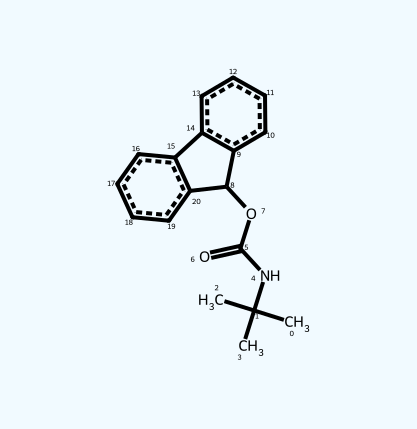 CC(C)(C)NC(=O)OC1c2ccccc2-c2ccccc21